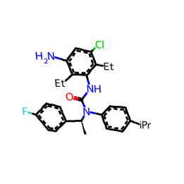 CCc1c(N)cc(Cl)c(CC)c1NC(=O)N(c1ccc(C(C)C)cc1)[C@@H](C)c1ccc(F)cc1